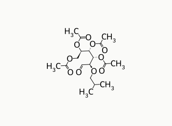 CC(=O)OC[C@@H](OC(C)=O)[C@H](OC(C)=O)[C@H](OC(C)=O)[C@H](C=O)OCC(C)C